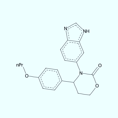 CCCOc1ccc(C2CCOC(=O)N2c2ccc3nc[nH]c3c2)cc1